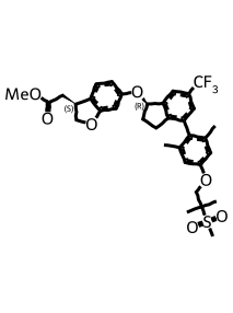 COC(=O)C[C@@H]1COc2cc(O[C@@H]3CCc4c(-c5c(C)cc(OCC(C)(C)S(C)(=O)=O)cc5C)cc(C(F)(F)F)cc43)ccc21